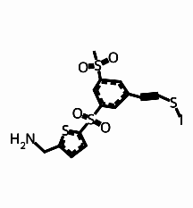 CS(=O)(=O)c1cc(C#CSI)cc(S(=O)(=O)c2ccc(CN)s2)c1